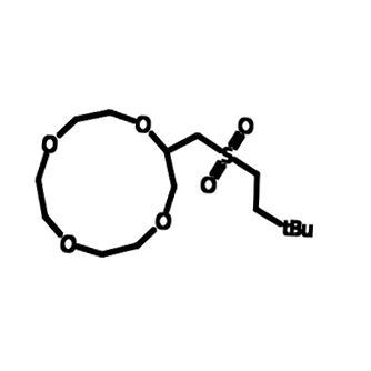 CC(C)(C)CCS(=O)(=O)CC1COCCOCCOCCO1